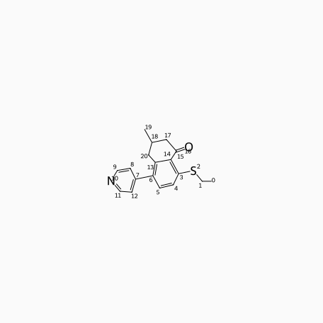 CCSc1ccc(-c2ccncc2)c2c1C(=O)CC(C)C2